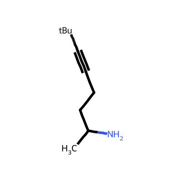 CC(N)CCC#CC(C)(C)C